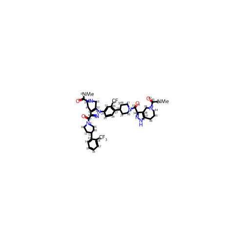 CNC(=O)C1Cc2c(C(=O)N3CCC(c4ccccc4C(F)(F)F)CC3)nn(-c3ccc(C4CCN(C(=O)c5n[nH]c6c5CN(C(=O)NC)CCC6)CC4)c(C(F)(F)F)c3)c2CN1